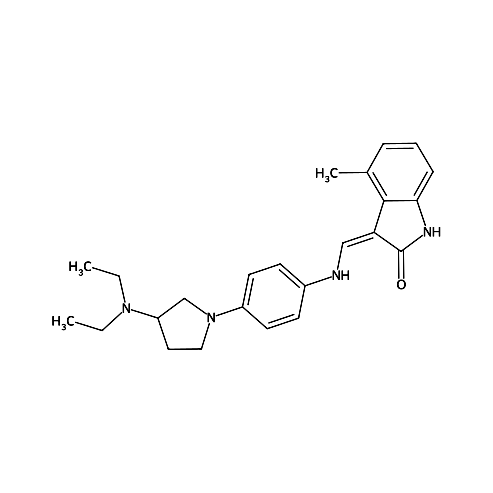 CCN(CC)C1CCN(c2ccc(NC=C3C(=O)Nc4cccc(C)c43)cc2)C1